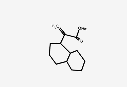 C=C(C(=O)OC)C1CCCC2CCCCC21